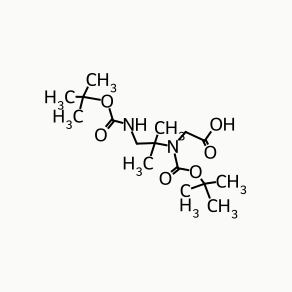 CC(C)(C)OC(=O)NCC(C)(C)N(CC(=O)O)C(=O)OC(C)(C)C